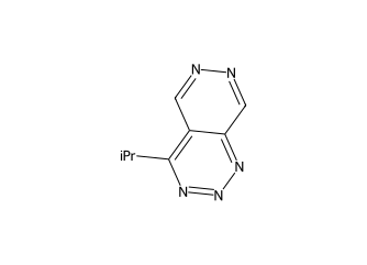 CC(C)c1nnnc2cnncc12